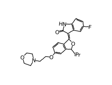 CC(C)C1OC(=C2C(=O)Nc3ccc(F)cc32)c2ccc(OCCN3CCOCC3)cc21